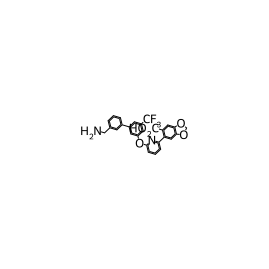 NCc1cccc(-c2cc(Oc3cccc(-c4cc5c(cc4C(=O)O)OCO5)n3)cc(C(F)(F)F)c2)c1